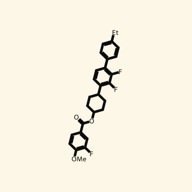 CCc1ccc(-c2ccc(C3CCC(OC(=O)c4ccc(OC)c(F)c4)CC3)c(F)c2F)cc1